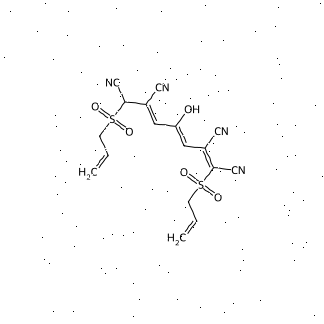 C=CCS(=O)(=O)\C(C#N)=C(C#N)/C=C(O)/C=C(\C#N)C(C#N)S(=O)(=O)CC=C